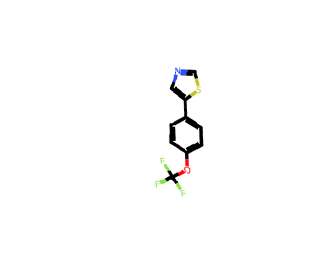 FC(F)(F)Oc1ccc(-c2cncs2)cc1